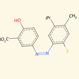 Cc1cc(F)c(/N=N\c2ccc(O)c(C(=O)O)c2)cc1C(C)C